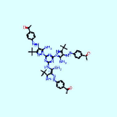 CC(=O)c1ccc(/N=N/C(C(=N)C(C)(C)C)=C(\N)Nc2nc(-n3nc(C(C)(C)C)c(/N=N/c4ccc(C(C)=O)cc4)c3N)nc(-n3nc(C(C)(C)C)c(/N=N/c4ccc(C(C)=O)cc4)c3N)n2)cc1